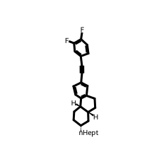 CCCCCCC[C@@H]1CC[C@@H]2c3ccc(C#Cc4ccc(F)c(F)c4)cc3CC[C@@H]2C1